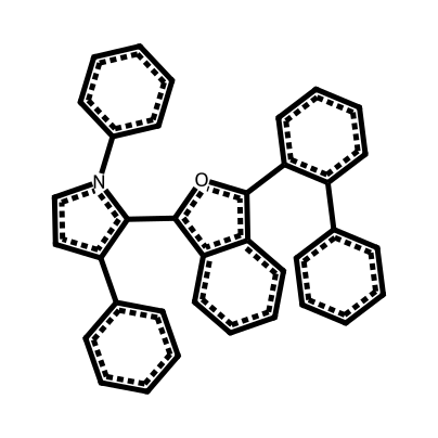 c1ccc(-c2ccccc2-c2oc(-c3c(-c4ccccc4)ccn3-c3ccccc3)c3ccccc23)cc1